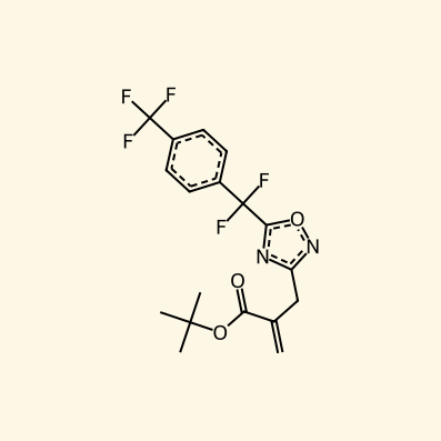 C=C(Cc1noc(C(F)(F)c2ccc(C(F)(F)F)cc2)n1)C(=O)OC(C)(C)C